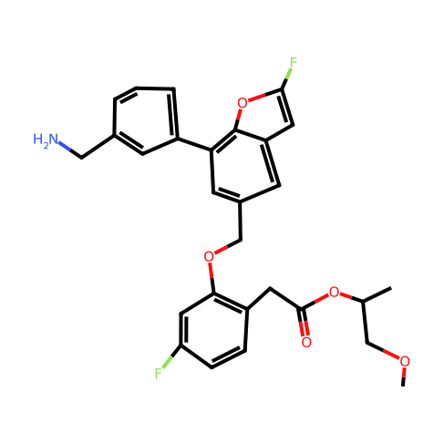 COCC(C)OC(=O)Cc1ccc(F)cc1OCc1cc(-c2cccc(CN)c2)c2oc(F)cc2c1